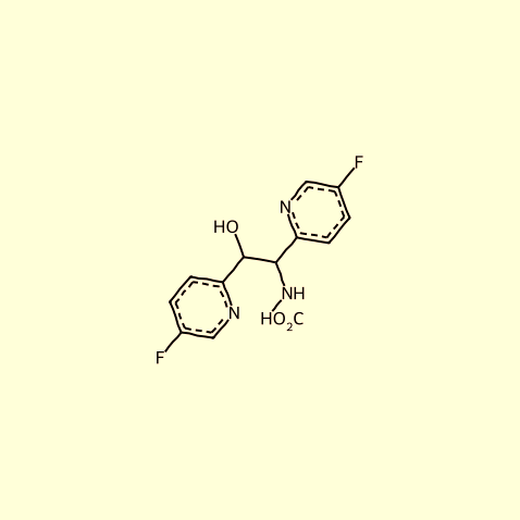 O=C(O)NC(c1ccc(F)cn1)C(O)c1ccc(F)cn1